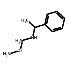 CC(N[SiH2]O[SiH3])c1ccccc1